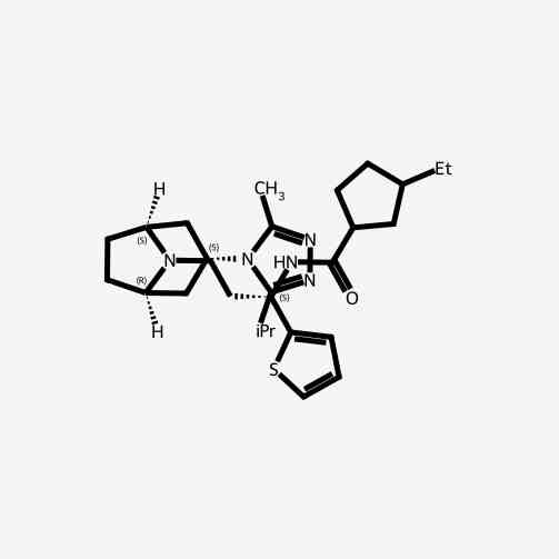 CCC1CCC(C(=O)N[C@@H](CCN2[C@@H]3CC[C@H]2C[C@H](n2c(C)nnc2C(C)C)C3)c2cccs2)C1